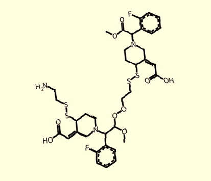 COC(=O)C(c1ccccc1F)N1CCC(SSCCOOC(OC)C(c2ccccc2F)N2CCC(SSCCN)/C(=C\C(=O)O)C2)/C(=C\C(=O)O)C1